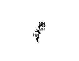 CCCNCC(=O)NCC(=O)O